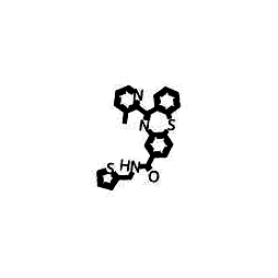 Cc1cccnc1C1=Nc2cc(C(=O)NCc3cccs3)ccc2Sc2ccccc21